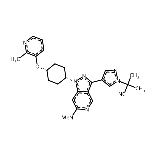 CNc1cc2c(cn1)c(-c1cnn(C(C)(C)C#N)c1)nn2[C@H]1CC[C@@H](Oc2cccnc2C)CC1